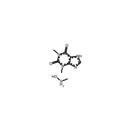 C[SiH2]O.Cn1c(=O)c2[nH]cnc2n(C)c1=O